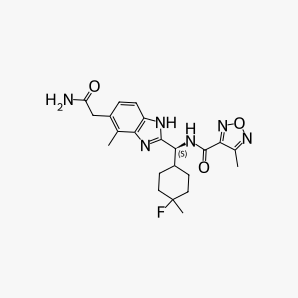 Cc1nonc1C(=O)N[C@H](c1nc2c(C)c(CC(N)=O)ccc2[nH]1)C1CCC(C)(F)CC1